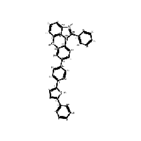 c1ccc(-c2ccc(-c3ccc(-c4ccc5c(c4)Oc4cccc6nc(-c7ccccc7)n-5c46)cc3)s2)cc1